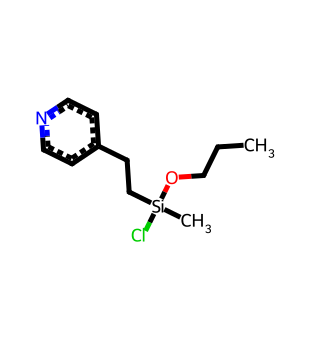 CCCO[Si](C)(Cl)CCc1ccncc1